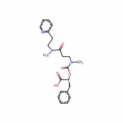 CN(CCc1ccccn1)C(=O)CCN(C)C(=O)O[C@@H](Cc1ccccc1)C(=O)O